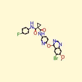 COc1cc2ncnc(Oc3ccc(NC(=O)C4(C(=O)Nc5ccc(F)cc5)CC4)cn3)c2cc1Br